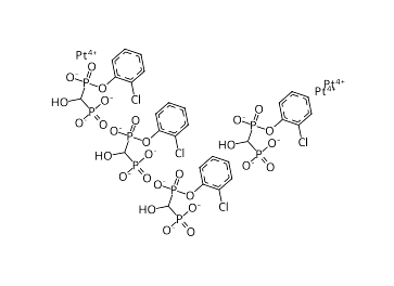 O=P([O-])([O-])C(O)P(=O)([O-])Oc1ccccc1Cl.O=P([O-])([O-])C(O)P(=O)([O-])Oc1ccccc1Cl.O=P([O-])([O-])C(O)P(=O)([O-])Oc1ccccc1Cl.O=P([O-])([O-])C(O)P(=O)([O-])Oc1ccccc1Cl.[Pt+4].[Pt+4].[Pt+4]